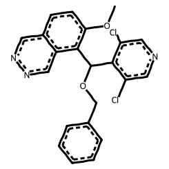 COc1ccc2cnncc2c1C(OCc1ccccc1)c1c(Cl)cncc1Cl